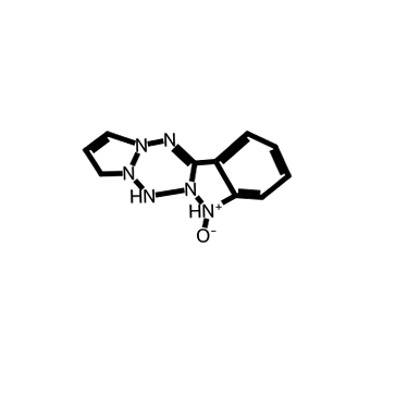 [O-][NH+]1c2ccccc2-c2nn3n([nH]n21)CC=C3